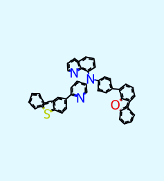 c1cnc2c(N(c3ccc(-c4cccc5c4oc4ccccc45)cc3)c3ccc(-c4ccc5sc6ccccc6c5c4)nc3)cccc2c1